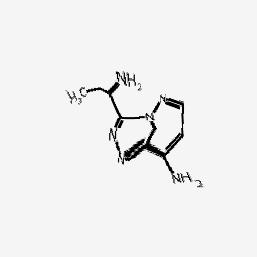 CC(N)c1nnc2c(N)ccnn12